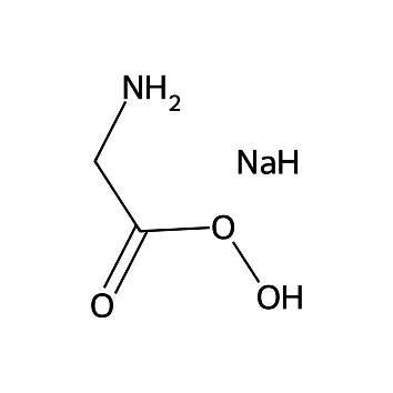 NCC(=O)OO.[NaH]